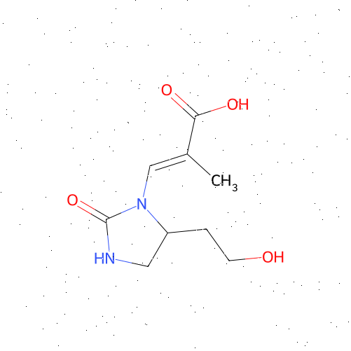 CC(=CN1C(=O)NCC1CCO)C(=O)O